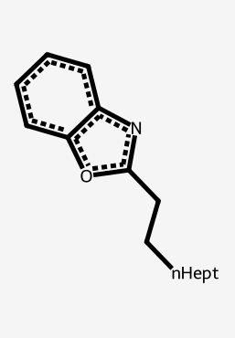 CCCCCCCCCc1nc2ccccc2o1